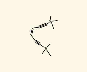 C[Si](C)(C)C#C/C=C\C#C[Si](C)(C)C